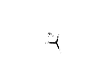 F[C](F)F.N